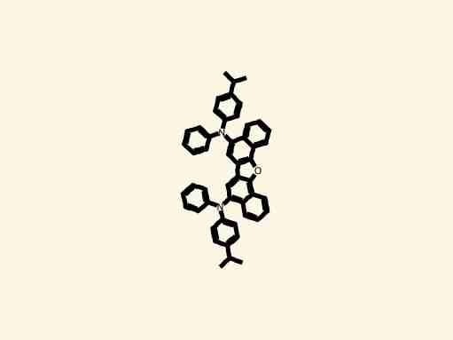 CC(C)c1ccc(N(c2ccccc2)c2cc3c4cc(N(c5ccccc5)c5ccc(C(C)C)cc5)c5ccccc5c4oc3c3ccccc23)cc1